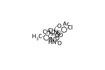 CC(=O)c1c(Cl)ccc2c1OCCN([C@H](c1n[nH]c(=O)o1)[C@H](C)c1c(F)ccc(C)c1C)S2(=O)=O